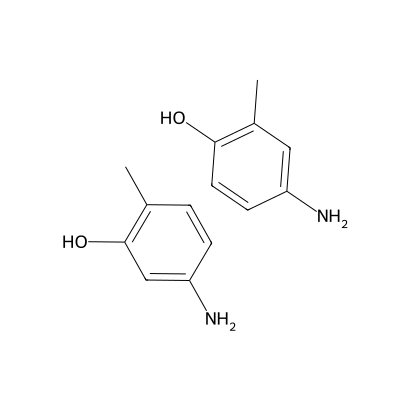 Cc1cc(N)ccc1O.Cc1ccc(N)cc1O